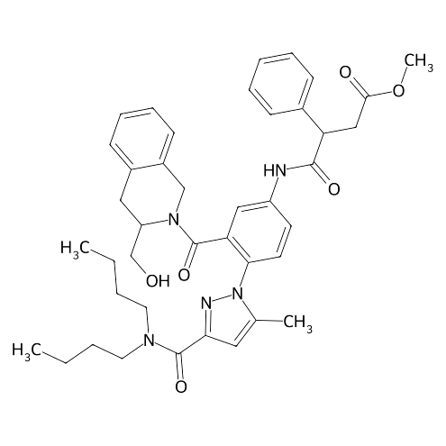 CCCCN(CCCC)C(=O)c1cc(C)n(-c2ccc(NC(=O)C(CC(=O)OC)c3ccccc3)cc2C(=O)N2Cc3ccccc3CC2CO)n1